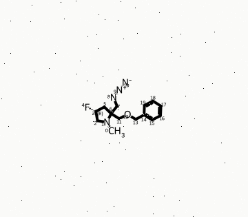 CN1C[C@H](F)CC1(CN=[N+]=[N-])COCc1ccccc1